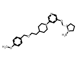 BN1CCC[C@H]1COc1cncc(N2CCC(CCOCc3ccc(OC)cc3)CC2)c1